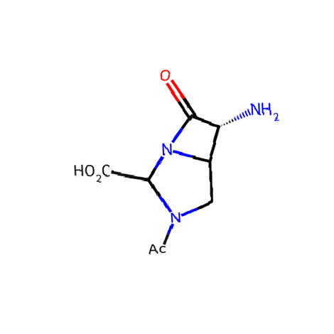 CC(=O)N1CC2[C@@H](N)C(=O)N2C1C(=O)O